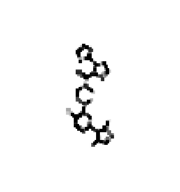 Cc1cnn(C)c1-c1cc(N2CCN(C(=O)N3N=CCC3c3nccs3)CC2)c(F)cn1